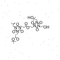 C=C(C)Cn1c(=O)n(CCC(=O)OCCn2c(=O)n(CCO)c(=O)n(CC(C)(C)O)c2=O)c(=O)n(CCC(=O)OC(C)(C)C)c1=O